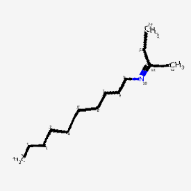 [CH2]CCCCCCCC[CH]N=C(C)CC